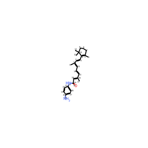 CC(C=CC1=C(C)CCCC1(C)C)=CC=CC(C)=CC(=O)Nc1ccc(N)cc1